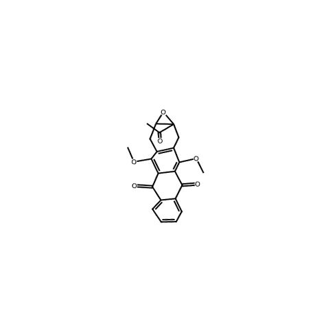 COc1c2c(c(OC)c3c1C(=O)c1ccccc1C3=O)CC1(C(C)=O)OC1C2